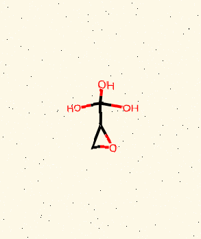 OC(O)(O)C1CO1